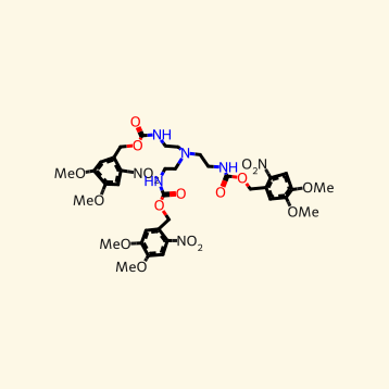 COc1cc(COC(=O)NCCN(CCNC(=O)OCc2cc(OC)c(OC)cc2[N+](=O)[O-])CCNC(=O)OCc2cc(OC)c(OC)cc2[N+](=O)[O-])c([N+](=O)[O-])cc1OC